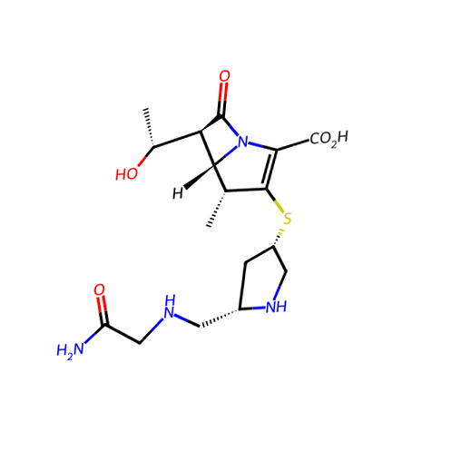 C[C@@H](O)[C@H]1C(=O)N2C(C(=O)O)=C(S[C@@H]3CN[C@H](CNCC(N)=O)C3)[C@H](C)[C@H]12